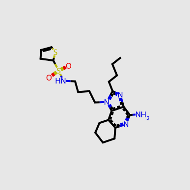 CCCCc1nc2c(N)nc3c(c2n1CCCCNS(=O)(=O)C1CC=CS1)CCCC3